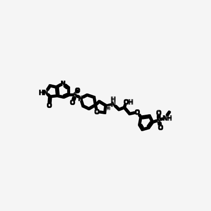 CNS(=O)(=O)c1cccc(OCC(O)CN[C@H]2COC3(CCN(S(=O)(=O)c4cnc5c(c4)C(=O)NC5)CC3)C2)c1